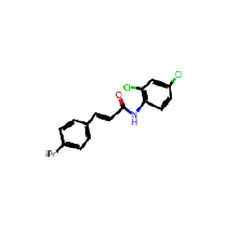 CC(C)c1ccc(/C=C/C(=O)Nc2ccc(Cl)cc2Cl)cc1